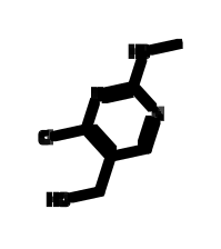 CBc1ncc(CO)c(Cl)n1